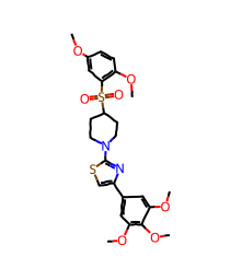 COc1ccc(OC)c(S(=O)(=O)C2CCN(c3nc(-c4cc(OC)c(OC)c(OC)c4)cs3)CC2)c1